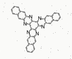 c1ccc2cc3nc4c(nc3cc2c1)c1nc2cc3ccccc3cc2nc1c1nc2cc3ccccc3cc2nc41